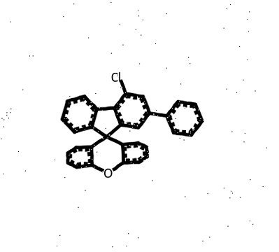 Clc1cc(-c2ccccc2)cc2c1-c1ccccc1C21c2ccccc2Oc2ccccc21